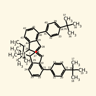 [CH2]=[Hf]([CH3])([CH3])([CH3])([CH2]C)([CH]1C=Cc2c(-c3ccc(C(C)(C)C)cc3)cccc21)[CH]1C=Cc2c(-c3ccc(C(C)(C)C)cc3)cccc21